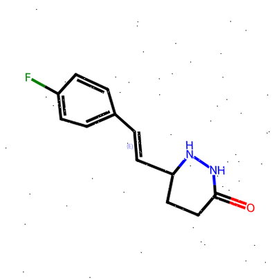 O=C1CCC(/C=C/c2ccc(F)cc2)NN1